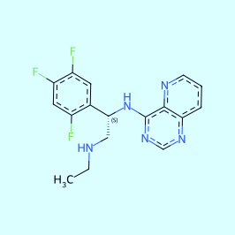 CCNC[C@@H](Nc1ncnc2cccnc12)c1cc(F)c(F)cc1F